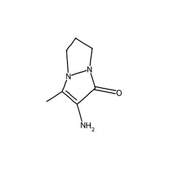 Cc1c(N)c(=O)n2n1CCC2